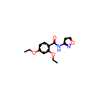 CCOc1ccc(C(=O)Nc2ccon2)c(OCC)c1